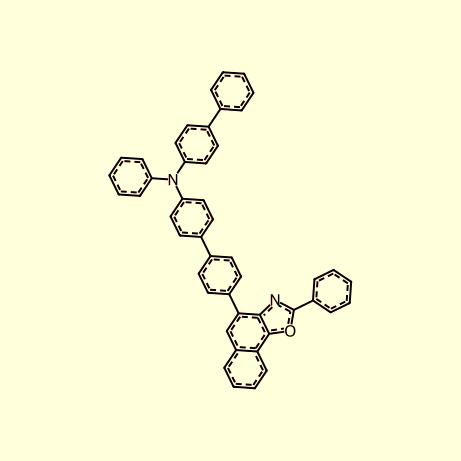 c1ccc(-c2ccc(N(c3ccccc3)c3ccc(-c4ccc(-c5cc6ccccc6c6oc(-c7ccccc7)nc56)cc4)cc3)cc2)cc1